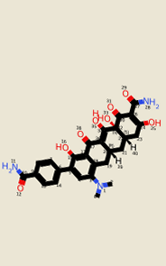 CN(C)c1cc(-c2ccc(C(N)=O)cc2)c(O)c2c1C[C@H]1C[C@H]3CC(O)=C(C(N)=O)C(=O)[C@@]3(O)C(O)=C1C2=O